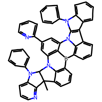 CC12c3cccc4c3N(c3cc(-c5ccccn5)cc5c3B4c3cccc4c6c7ccccc7n(-c7ccccc7)c6n-5c34)C1N(c1ccccc1)c1cccnc12